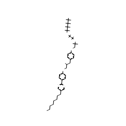 CCCCCCCCc1cnc(-c2ccc(OCC(F)Cc3ccc(OCC(F)(F)OC(F)(F)C(F)(F)OC(F)(F)C(F)(F)C(F)(F)C(F)(F)F)cc3)cc2)nc1